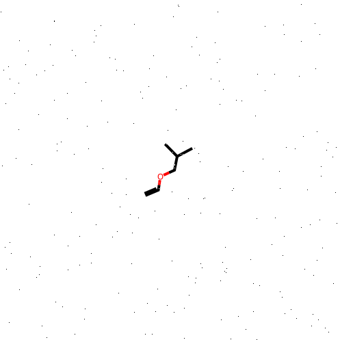 [CH2]C(C)COC=C